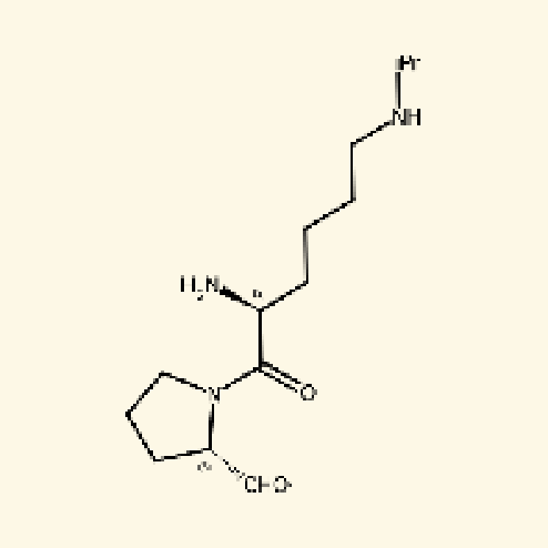 CC(C)NCCCC[C@H](N)C(=O)N1CCC[C@H]1[C]=O